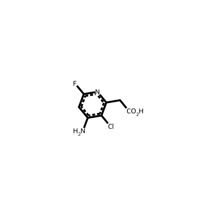 Nc1cc(F)nc(CC(=O)O)c1Cl